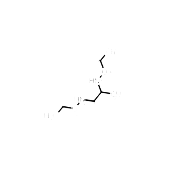 CCONCC(C)NOCC